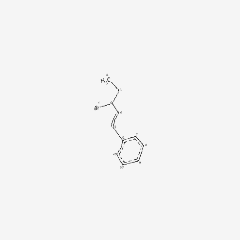 CCC(Br)/C=C/c1ccccc1